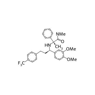 CNC(=O)[C@](C)(N[C@H](CCc1ccc(C(F)(F)F)cc1)c1ccc(OC)c(OC)c1)c1ccccc1